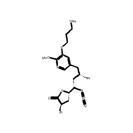 COCCCOc1cc(C[C@@H](C[C@H](N=[N+]=[N-])[C@@H]2C[C@@H](C(C)C)C(=O)O2)C(C)C)cnc1OC